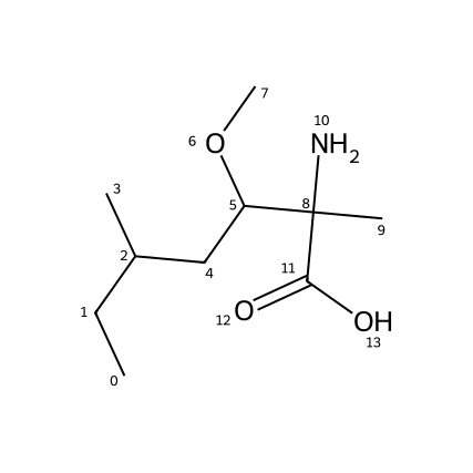 CCC(C)CC(OC)C(C)(N)C(=O)O